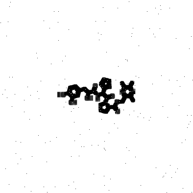 Cc1nc(C)c(COC(=O)C2CCCN2C(=O)C(NC(=O)C(O)Cc2ccc(O)c(O)c2)c2cccs2)nc1C